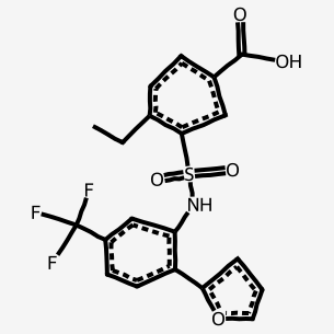 CCc1ccc(C(=O)O)cc1S(=O)(=O)Nc1cc(C(F)(F)F)ccc1-c1ccco1